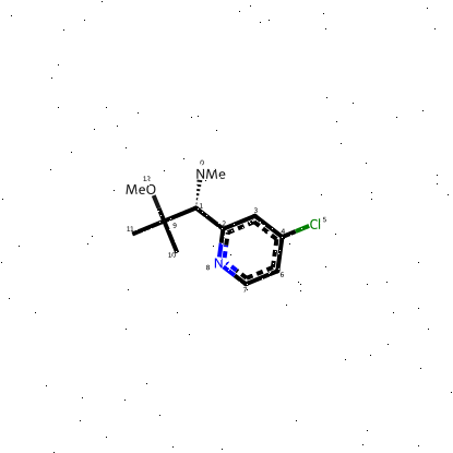 CN[C@H](c1cc(Cl)ccn1)C(C)(C)OC